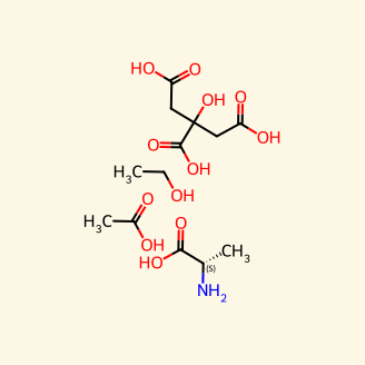 CC(=O)O.CCO.C[C@H](N)C(=O)O.O=C(O)CC(O)(CC(=O)O)C(=O)O